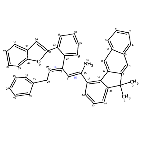 CC1(C)c2cc3ccccc3cc2-c2c(/C(N)=C/C(=N\Cc3ccccc3)c3ccccc3-c3cc4ccccc4o3)cccc21